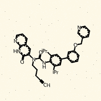 C#CCCCN(C(=O)Nc1c(C(C)C)cc(-c2cccc(OCc3cccnc3)c2)cc1C(C)C)c1cc2cccnc2[nH]c1=O